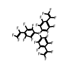 FC(F)=C(F)c1c(F)c(F)c(P(c2c(F)c(F)c(C(F)=C(F)F)c(F)c2F)c2c(F)c(F)c(C(F)=C(F)F)c(F)c2F)c(F)c1F